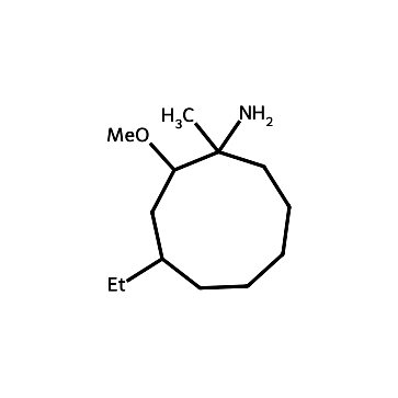 CCC1CCCCCC(C)(N)C(OC)C1